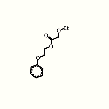 CCOCC(=O)OCCOc1ccccc1